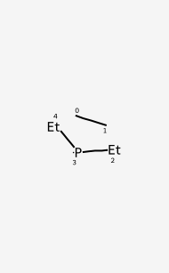 CC.CC[P]CC